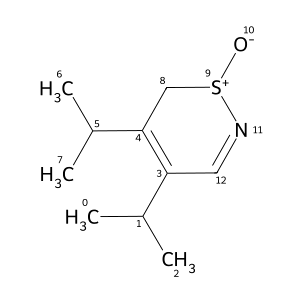 CC(C)C1=C(C(C)C)C[S+]([O-])N=C1